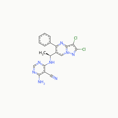 C[C@H](Nc1ncnc(N)c1C#N)c1cn2nc(Cl)c(Cl)c2nc1-c1ccccc1